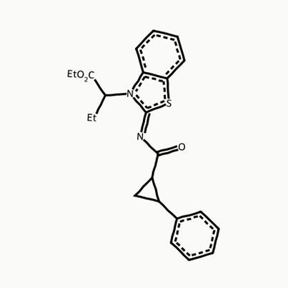 CCOC(=O)C(CC)n1c(=NC(=O)C2CC2c2ccccc2)sc2ccccc21